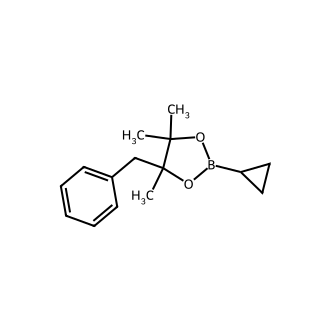 CC1(C)OB(C2CC2)OC1(C)Cc1ccccc1